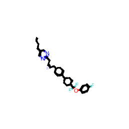 C=CCCc1cnc(C/C=C\CC2=CCC(C3CCC(C(F)(F)Oc4ccc(F)cc4)CC3)CC2)nc1